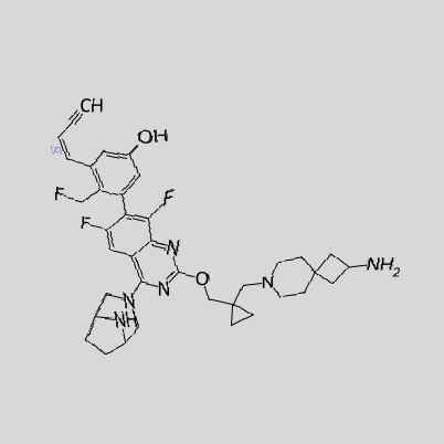 C#C/C=C\c1cc(O)cc(-c2c(F)cc3c(N4CC5CCC(C4)N5)nc(OCC4(CN5CCC6(CC5)CC(N)C6)CC4)nc3c2F)c1CF